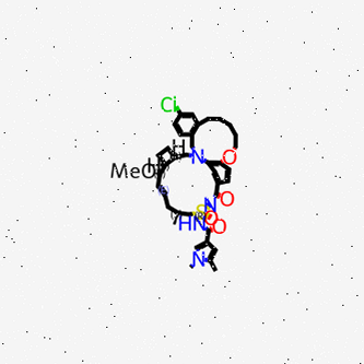 CO[C@H]1/C=C/C[C@H](C)C[S@@](=O)(NC(=O)c2cc(C)n(C)c2)=NC(=O)c2ccc3c(c2)N(Cc2ccc(Cl)cc2CCCCCO3)C[C@@H]2CC[C@H]21